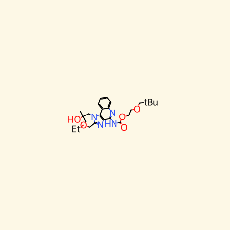 CCOCc1nc2c(NC(=O)OCCOCC(C)(C)C)nc3ccccc3c2n1CC(C)(C)O